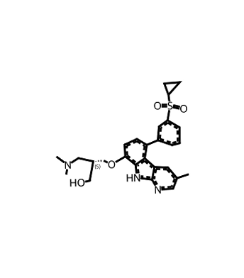 Cc1cnc2[nH]c3c(OC[C@H](CO)CN(C)C)ccc(-c4cccc(S(=O)(=O)C5CC5)c4)c3c2c1